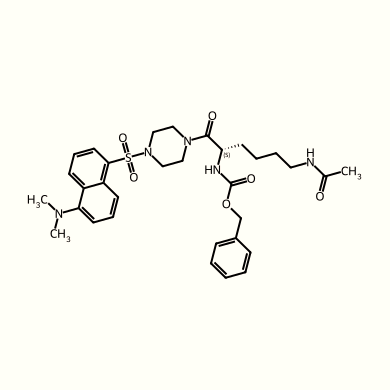 CC(=O)NCCCC[C@H](NC(=O)OCc1ccccc1)C(=O)N1CCN(S(=O)(=O)c2cccc3c(N(C)C)cccc23)CC1